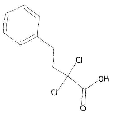 O=C(O)C(Cl)(Cl)CCc1ccccc1